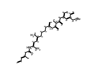 C=C/C=C(\C)CC(=O)N/C(N)=C/C=C(\N)CCCCC(=C)SC(=C)N(C)C(=C)CC(/C=C(\C=C)CC(C)(C)C)=C/C